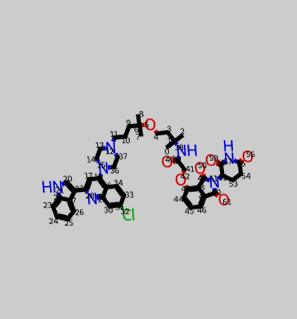 CC(C)(CCOC(C)(C)CCCN1CCN(c2cc(-c3c[nH]c4ccccc34)nc3cc(Cl)ccc23)CC1)NC(=O)COc1cccc2c1C(=O)N(C1CCC(=O)NC1=O)C2=O